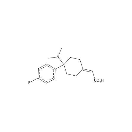 CN(C)C1(c2ccc(F)cc2)CCC(=CC(=O)O)CC1